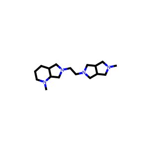 CN1CC2CN(CCN3CC4CCCN(C)C4C3)CC2C1